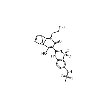 CC(C)(C)CCN1C(=O)C(C2=NS(=O)(=O)c3cc(NS(C)(=O)=O)ccc3N2)=C(O)C2C3C=CC(C3)C21